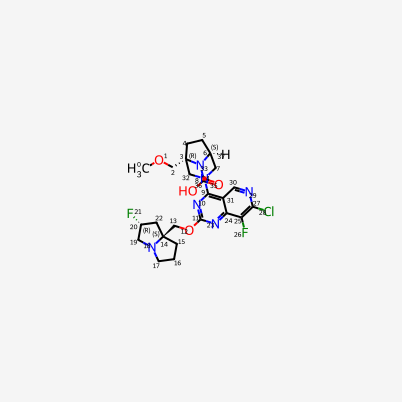 COC[C@@]12CC[C@@H](CN(c3nc(OC[C@@]45CCCN4C[C@H](F)C5)nc4c(F)c(Cl)ncc34)C1)N2C(=O)O